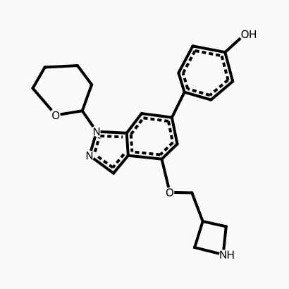 Oc1ccc(-c2cc(OCC3CNC3)c3cnn(C4CCCCO4)c3c2)cc1